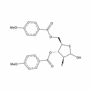 COc1ccc(C(=O)OC[C@H]2SC(O)[C@@H](F)[C@@H]2OC(=O)c2ccc(OC)cc2)cc1